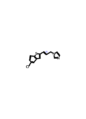 Clc1ccc2sc(/C=C/Cn3ccnc3)cc2c1